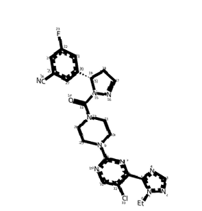 CCn1ncnc1-c1nc(N2CCN(C(=O)N3N=CC[C@H]3c3cc(F)cc(C#N)c3)CC2)ncc1Cl